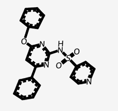 O=S(=O)(Nc1nc(Oc2ccccc2)cc(-c2ccccc2)n1)c1ccncc1